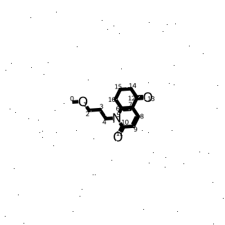 COCCCn1c2c(ccc1=O)C(=O)CCC2